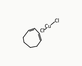 C1=CCCCCC=C1.[Cl][Cu][Cl]